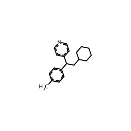 Cc1ccc(C(CC2CCCCC2)c2ccncc2)cc1